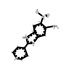 Nc1cc2nc(-c3ccncc3)[nH]c2cc1[N+](=O)[O-]